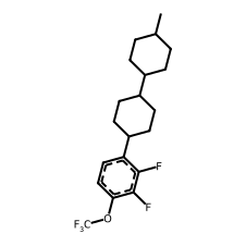 CC1CCC(C2CCC(c3ccc(OC(F)(F)F)c(F)c3F)CC2)CC1